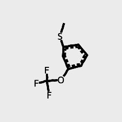 CSc1cccc(OC(F)(F)F)c1